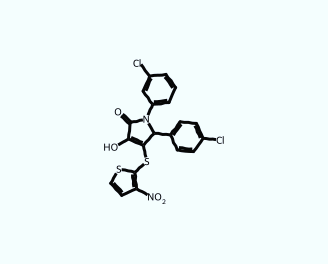 O=C1C(O)=C(Sc2sccc2[N+](=O)[O-])C(c2ccc(Cl)cc2)N1c1cccc(Cl)c1